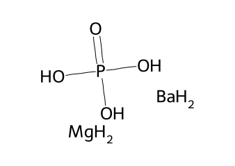 O=P(O)(O)O.[BaH2].[MgH2]